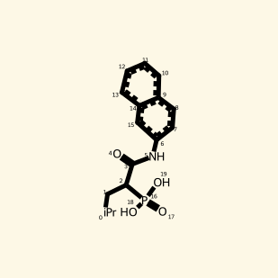 CC(C)CC(C(=O)Nc1ccc2ccccc2c1)P(=O)(O)O